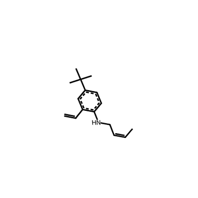 C=Cc1cc(C(C)(C)C)ccc1NC/C=C\C